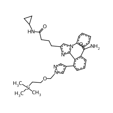 C[Si](C)(C)CCOCn1cc(-c2cccc(C(N)=O)c2-c2nc(CCCC(=O)NC3CC3)cn2-c2ccccc2)cn1